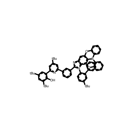 CC(C)(C)c1cc(-c2cccc(-c3nc4cc5c6c(c4n3-c3ccc(C(C)(C)C)cc3-c3ccccc3)Oc3ccccc3B6c3ccccc3O5)c2)nc(-c2cc(C(C)(C)C)cc(C(C)(C)C)c2O)c1